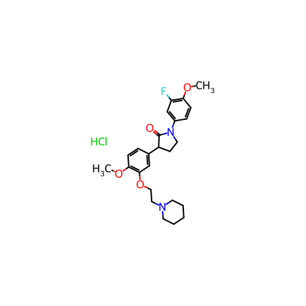 COc1ccc(N2CCC(c3ccc(OC)c(OCCN4CCCCC4)c3)C2=O)cc1F.Cl